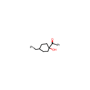 CC(C)CC1CCC(O)(C(=O)C(C)C)CC1